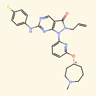 C=CCn1c(=O)c2cnc(Nc3ccc(F)cc3)nc2n1-c1cccc(O[C@@H]2CCCN(C)CC2)n1